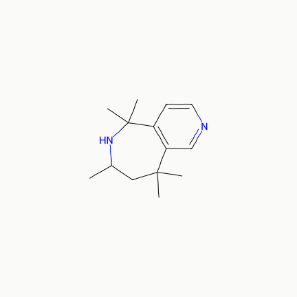 CC1CC(C)(C)c2cnccc2C(C)(C)N1